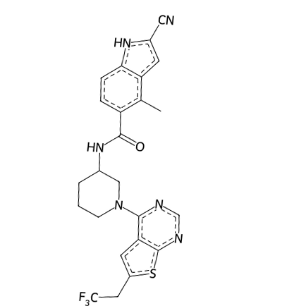 Cc1c(C(=O)NC2CCCN(c3ncnc4sc(CC(F)(F)F)cc34)C2)ccc2[nH]c(C#N)cc12